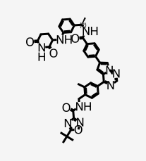 Cc1cc(-c2ncnn3cc(-c4ccc(C(=O)N[C@H](C)c5cccc(NC6CCC(=O)NC6=O)c5)cc4)cc23)ccc1CNC(=O)c1noc(C(C)(C)C)n1